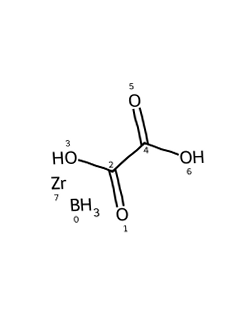 B.O=C(O)C(=O)O.[Zr]